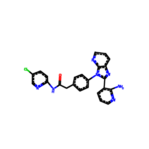 Nc1ncccc1-c1nc2cccnc2n1-c1ccc(CC(=O)Nc2ccc(Cl)cn2)cc1